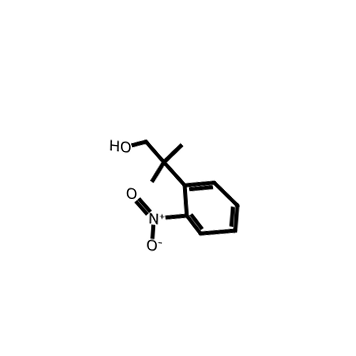 CC(C)(CO)c1ccccc1[N+](=O)[O-]